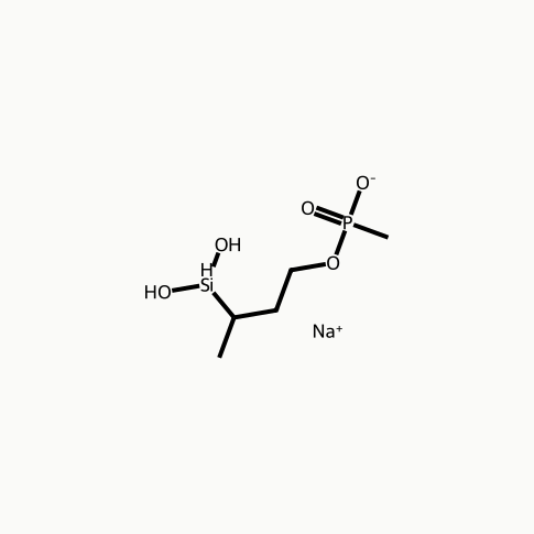 CC(CCOP(C)(=O)[O-])[SiH](O)O.[Na+]